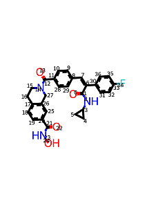 O=C(NC1CC1)C(=Cc1ccc(C(=O)N2CCc3ccc(C(=O)NO)cc3C2)cc1)c1ccc(F)cc1